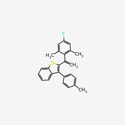 C=C(c1sc2ccccc2c1-c1ccc(C)cc1)c1c(C)cc(F)cc1C